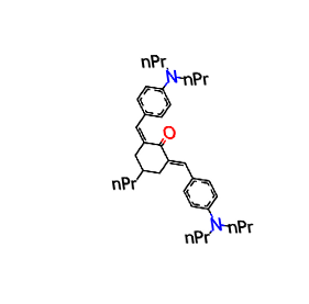 CCCC1CC(=Cc2ccc(N(CCC)CCC)cc2)C(=O)C(=Cc2ccc(N(CCC)CCC)cc2)C1